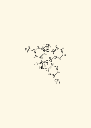 O=S(=O)(Nc1cc(C(F)(F)F)ccc1Oc1cccnc1O)c1cc(C(F)(F)F)cc(C(F)(F)F)c1